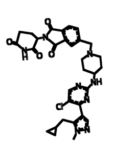 Cn1ncc(-c2nc(NC3CCN(Cc4ccc5c(c4)C(=O)N(C4CCC(=O)NC4=O)C5=O)CC3)ncc2Cl)c1CC1CC1